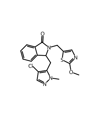 COc1ncc(CN2C(=O)c3ccccc3C2Cc2c(Cl)cnn2C)s1